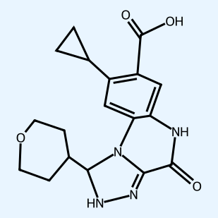 O=C1Nc2cc(C(=O)O)c(C3CC3)cc2N2C1=NNC2C1CCOCC1